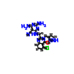 CC(Nc1nc(N)nc(N)c1C#N)c1nc2cccc(Cl)c2c(=O)n1Cc1cc[nH]n1